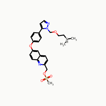 C[SiH](C)CCOCn1nccc1-c1ccc(Oc2ccc3nc(COS(C)(=O)=O)ccc3c2)cc1